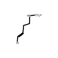 CCC=CCCNC(=O)O